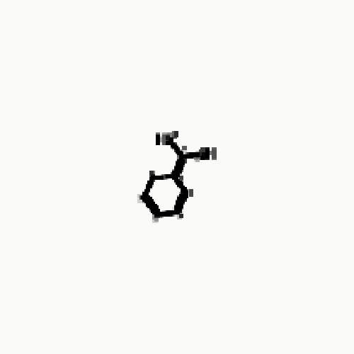 SC(S)=C1C=CC=CC1